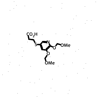 COCOc1cc(SCCC(=O)O)cnc1OCOC